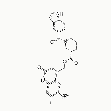 Cc1cc2oc(=O)cc(COC(=O)[C@H]3CCCN(C(=O)c4ccc5[nH]ccc5c4)C3)c2cc1C(C)C